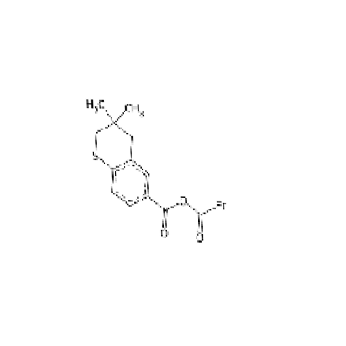 CCC(=O)OC(=O)c1ccc2c(c1)CC(C)(C)CS2